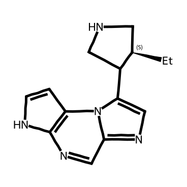 CC[C@@H]1CNCC1c1cnc2cnc3[nH]ccc3n12